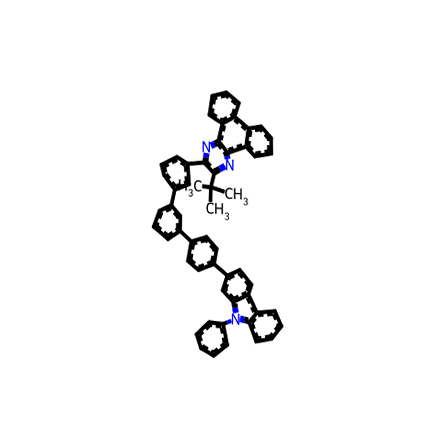 CC(C)(C)c1nc2c3ccccc3c3ccccc3c2nc1-c1cccc(-c2cccc(-c3ccc(-c4ccc5c6ccccc6n(-c6ccccc6)c5c4)cc3)c2)c1